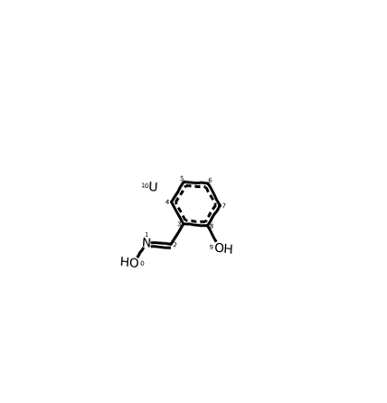 ON=Cc1ccccc1O.[U]